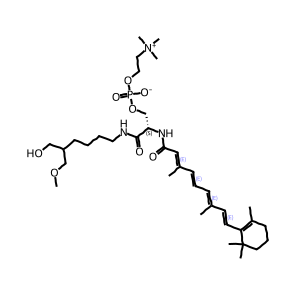 COCC(CO)CCCCNC(=O)[C@H](COP(=O)([O-])OCC[N+](C)(C)C)NC(=O)/C=C(C)/C=C/C=C(C)/C=C/C1=C(C)CCCC1(C)C